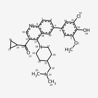 COc1cc(-c2ccc3ncc(C(=O)C4CC4)c(N4CCC(CN(C)C)CC4)c3c2)cc(Cl)c1O